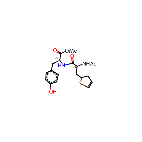 COC(=O)[C@H](Cc1ccc(O)cc1)NC(=O)[C@H](CC1CC=CS1)NC(C)=O